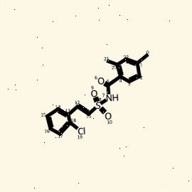 Cc1ccc(C(=O)NS(=O)(=O)C=Cc2ccccc2Cl)c(C)c1